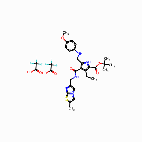 CCc1c(C(=O)OC(C)(C)C)[nH]c(CNc2ccc(OC)cc2)c1C(=O)NCc1cn2cc(C)sc2n1.O=C(O)C(F)(F)F.O=C(O)C(F)(F)F